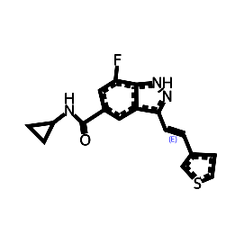 O=C(NC1CC1)c1cc(F)c2[nH]nc(/C=C/c3ccsc3)c2c1